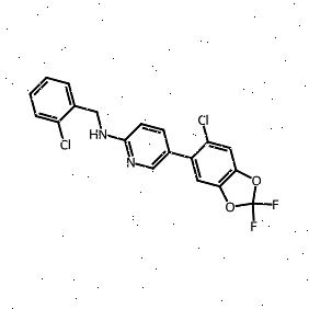 FC1(F)Oc2cc(Cl)c(-c3ccc(NCc4ccccc4Cl)nc3)cc2O1